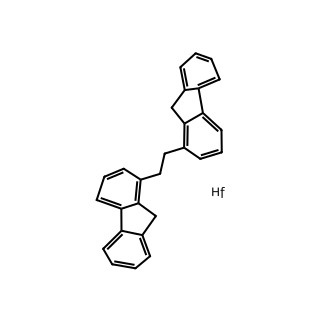 [Hf].c1ccc2c(c1)Cc1c(CCc3cccc4c3Cc3ccccc3-4)cccc1-2